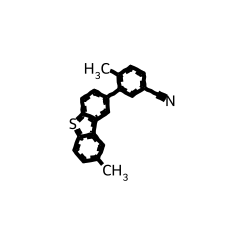 Cc1ccc2sc3ccc(-c4cc(C#N)ccc4C)cc3c2c1